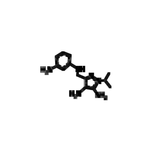 CC(C)n1nc(CNc2cccc(N)c2)c(N)c1N